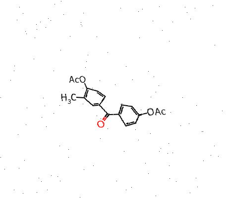 CC(=O)Oc1ccc(C(=O)c2ccc(OC(C)=O)c(C)c2)cc1